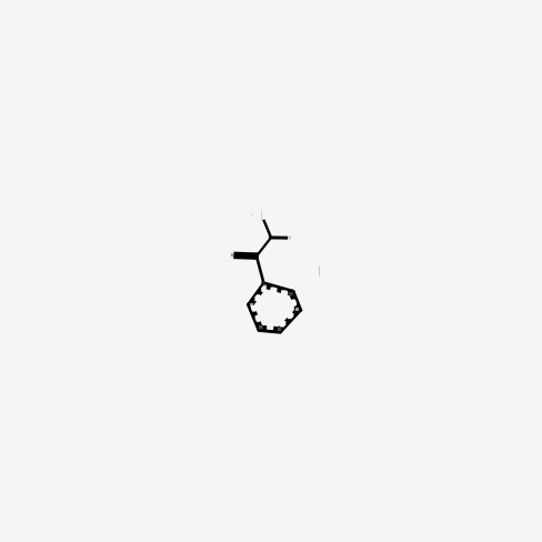 Cl.O=C(c1ccccc1)C(Cl)Cl